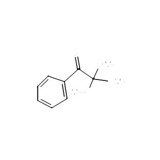 COC(OC)(SC)C(=S)c1ccccc1